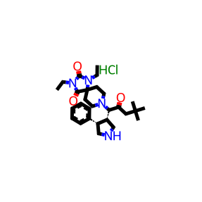 CCN1C(=O)N(CC)C2(CCN(C(C(=O)CC(C)(C)C)[C@@H]3CNC[C@@H]3c3ccccc3)CC2)C1=O.Cl